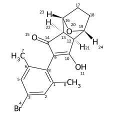 Cc1cc(Br)cc(C)c1C1=C(O)[C@H]2[C@@H](C1=O)[C@@H]1CC[C@H]2O1